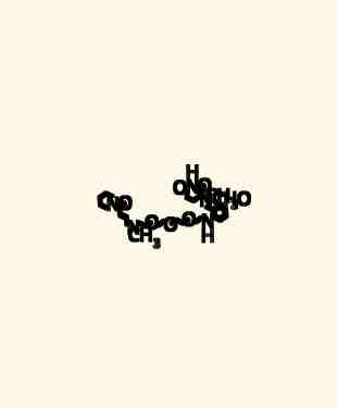 CN(C/C=C/C(=O)N1CCCCC1)CCOCCOCCOCCNc1cccc(C=O)c1CN(C)C1CCC(=O)NC1=O